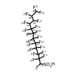 O=S(=O)(O)C(F)C(F)(F)C(F)(F)C(F)(F)C(F)(F)C(F)(F)C(F)(F)C(F)(F)C(F)C(F)C(F)C(F)F